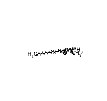 CCCCCCCC/C=C/CCCCCCCC(=O)OCCN(CC)CC